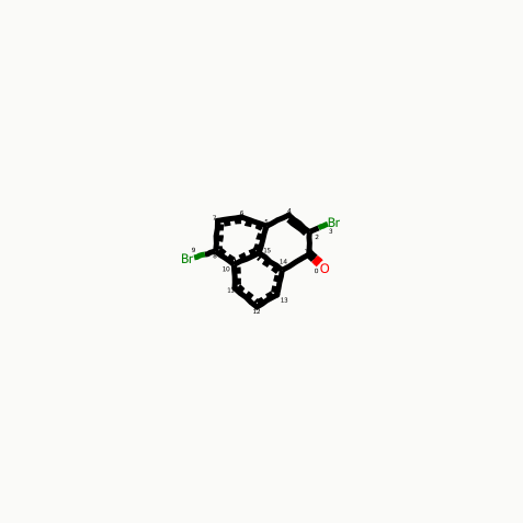 O=C1C(Br)=Cc2ccc(Br)c3cccc1c23